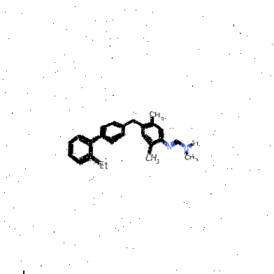 CCc1ccccc1-c1ccc(Cc2cc(C)c(/N=C/N(C)CC)cc2C)cc1